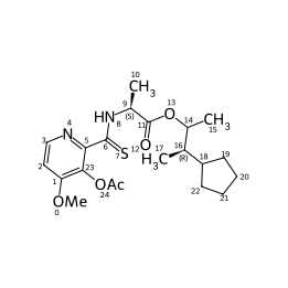 COc1ccnc(C(=S)N[C@@H](C)C(=O)OC(C)[C@H](C)C2CCCC2)c1OC(C)=O